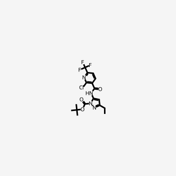 CCc1cc(NC(=O)c2ccc(C(F)(F)F)nc2Cl)n(C(=O)OC(C)(C)C)n1